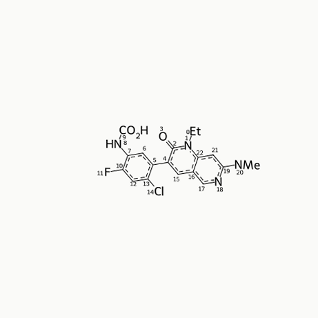 CCn1c(=O)c(-c2cc(NC(=O)O)c(F)cc2Cl)cc2cnc(NC)cc21